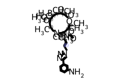 B[C@@H]1[C@@H](C)C(=O)[C@@H](C)C(=O)O[C@H](CC)[C@@]2(C)OC(=O)N(C/C=C/Cn3cc(-c4cccc(N)c4)nn3)[C@@H]2[C@@H](C)N(C)C[C@H](C)C[C@@]1(C)OC